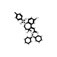 Cc1ccc(S(=O)(=O)N2CCC(F)(F)C(=CC(=O)ON(C3CCCCC3)C3CCCCC3)c3cc(F)ccc32)cc1